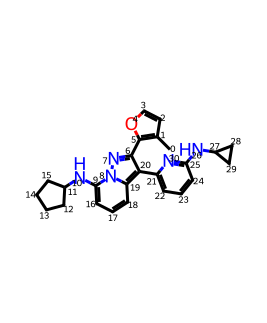 Cc1ccoc1-c1nn2c(NC3CCCC3)cccc2c1-c1cccc(NC2CC2)n1